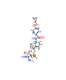 C[C@H](CS(=O)(=O)C(C)(C)C(=N)N)c1cc(NC(O)c2cnc(OCC3CC3)cn2)ccc1F